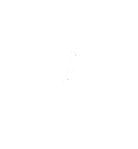 Cn1c(-c2cc3cc(F)cc(O)c3n2CC2CC2)nc2cc3c(nc21)CCN(C[C@@H](CF)NC(=O)OC(C)(C)C)C3=O